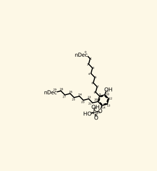 CCCCCCCCCCCCCCCCCCc1c(O)ccc(OP(=O)(O)O)c1CCCCCCCCCCCCCCCCCC